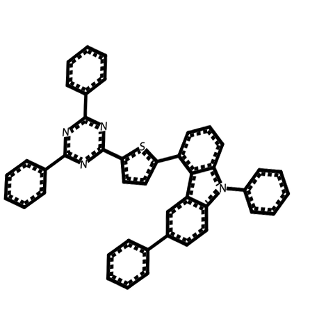 c1ccc(-c2ccc3c(c2)c2c(-c4ccc(-c5nc(-c6ccccc6)nc(-c6ccccc6)n5)s4)cccc2n3-c2ccccc2)cc1